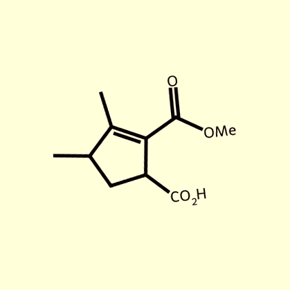 COC(=O)C1=C(C)C(C)CC1C(=O)O